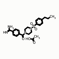 CC(=O)O.CCCc1ccc(S(=O)(=O)N2CCN(C(=O)c3ccc(C(=N)N)cc3)CC2)cc1